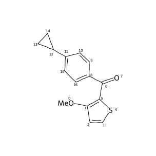 COc1ccsc1C(=O)c1ccc(C2CC2)cc1